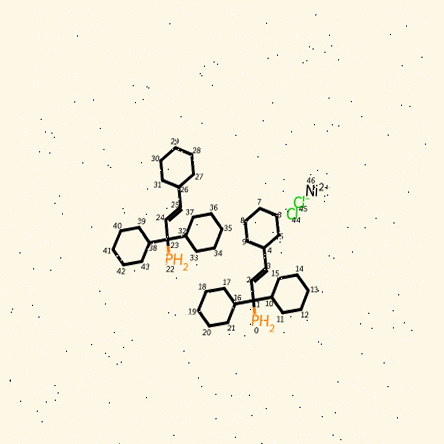 PC(C=CC1CCCCC1)(C1CCCCC1)C1CCCCC1.PC(C=CC1CCCCC1)(C1CCCCC1)C1CCCCC1.[Cl-].[Cl-].[Ni+2]